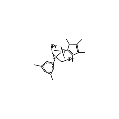 CC1=C(C)C(C)[C]([Ti]([CH3])([CH3])([CH3])[Si](CC(C)C)(CC(C)C)c2cc(C)cc(C)c2)=C1C